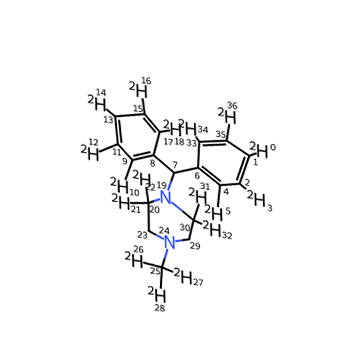 [2H]c1c([2H])c([2H])c(C(c2c([2H])c([2H])c([2H])c([2H])c2[2H])N2C([2H])([2H])CN(C([2H])([2H])[2H])CC2([2H])[2H])c([2H])c1[2H]